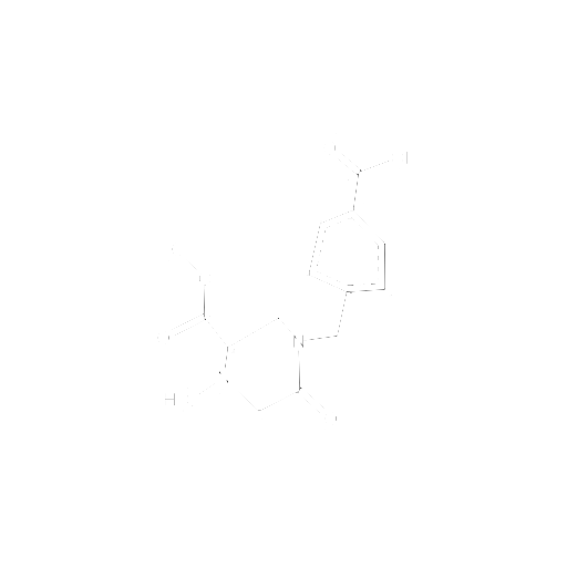 COC(=O)C1CN(Cc2ccc(C(=O)O)cc2)C(=O)CN1C